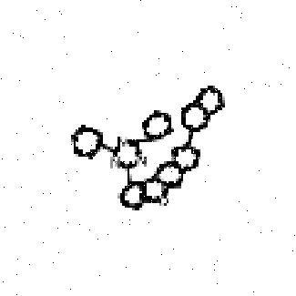 c1ccc(-c2nc(-c3ccccc3)nc(-c3cccc4oc5cc6ccc(-c7ccc8ccccc8c7)cc6cc5c34)n2)cc1